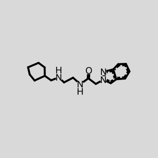 O=C(Cn1cc2ccccc2n1)NCCNCC1CCCCC1